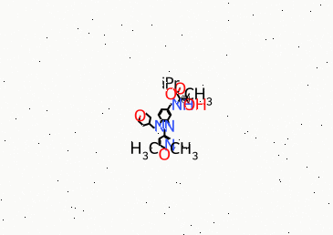 Cc1cc(-c2nc3cc(CNC(C(=O)OC(C)C)[C@@H](C)O)ccc3n2CC2CCOCC2)cn(C)c1=O